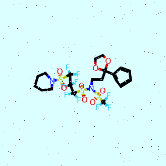 O=S(=O)(N(CCC1(c2ccccc2)OCCO1)S(=O)(=O)C(F)(F)C(F)(F)C(F)(F)S(=O)(=O)N1CCCCC1)C(F)(F)F